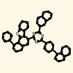 c1ccc(-c2cccc3cc(-c4nc(-c5ccc(-c6cccc7ccccc67)cc5)nc(-c5ccc6ccccc6c5)n4)c4c5ccccc5oc4c23)cc1